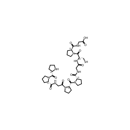 O=C(O)CNC(=O)[C@@H]1CCCN1C(=O)[C@H](CS)NC(=O)CNC(=O)[C@@H]1CCCN1C(=O)[C@@H]1CCCN1C(=O)CNC(=O)[C@@H]1CCCN1C(=O)[C@@H]1CCCN1